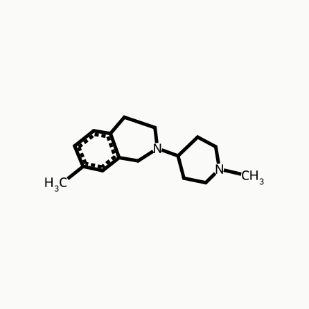 Cc1ccc2c(c1)CN(C1CCN(C)CC1)CC2